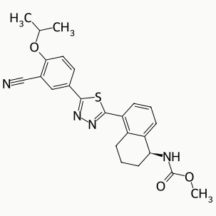 COC(=O)N[C@H]1CCCc2c(-c3nnc(-c4ccc(OC(C)C)c(C#N)c4)s3)cccc21